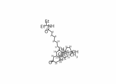 CCC(CC)NC(=O)CCCCCCCC1CC2CC(=O)CC[C@]2(C)[C@@H]2CC[C@]3(C)C(O)CC[C@H]3[C@H]12